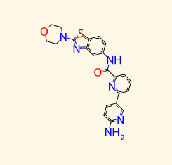 Nc1ccc(-c2cccc(C(=O)Nc3ccc4sc(N5CCOCC5)nc4c3)n2)cn1